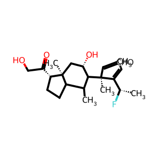 C/C=C\[C@@](C)(/C(=C\C=O)[C@H](C)F)C1C(C)C2CC[C@H](C(=O)CO)[C@@]2(C)C[C@@H]1O